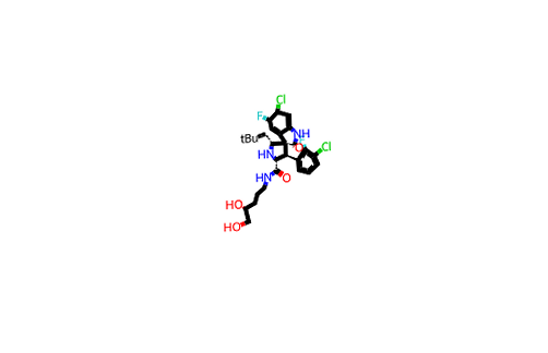 CC(C)(C)C[C@H]1N[C@@H](C(=O)NCCC[C@H](O)CO)[C@H](c2cccc(Cl)c2F)[C@@]12C(=O)NC1=CC(Cl)C(F)C=C12